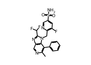 Cc1ncc2nc(C(F)F)n(Cc3ncc(S(N)(=O)=O)cc3F)c2c1-c1ccccc1